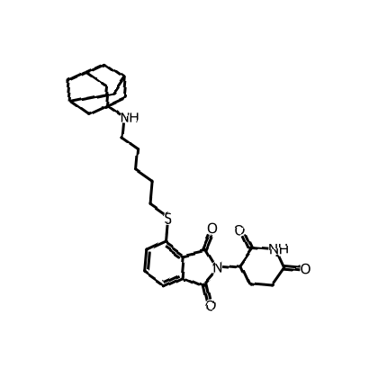 O=C1CCC(N2C(=O)c3cccc(SCCCCCNC45CC6CC(CC(C6)C4)C5)c3C2=O)C(=O)N1